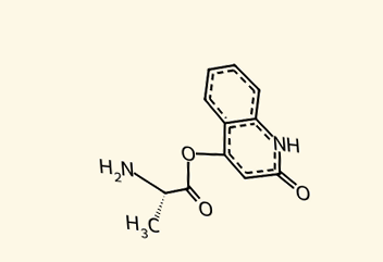 C[C@H](N)C(=O)Oc1cc(=O)[nH]c2ccccc12